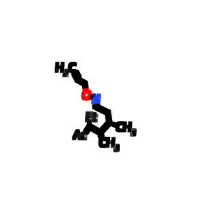 C=CCO/N=C/C[C@@H](C)C(C)[C@H](CC)C(C)=O